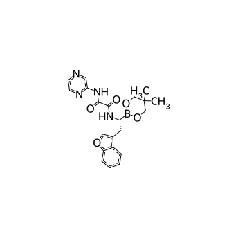 CC1(C)COB([C@H](Cc2coc3ccccc23)NC(=O)C(=O)Nc2cnccn2)OC1